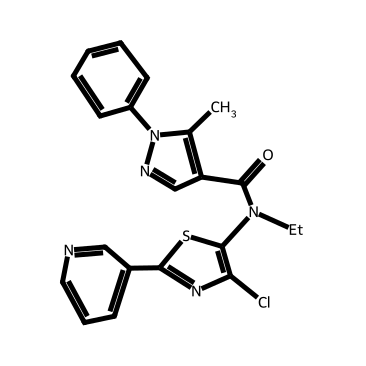 CCN(C(=O)c1cnn(-c2ccccc2)c1C)c1sc(-c2cccnc2)nc1Cl